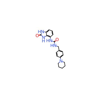 O=C(NCc1ccc(N2CCCCC2)cc1)Nc1cccc2[nH]c(=O)[nH]c12